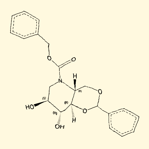 O=C(OCc1ccccc1)N1C[C@H](O)[C@@H](O)[C@@H]2OC(c3ccccc3)OC[C@H]21